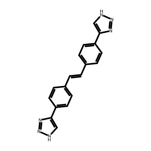 C(=C\c1ccc(-c2c[nH]nn2)cc1)/c1ccc(-c2c[nH]nn2)cc1